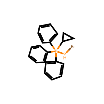 BrPP(c1ccccc1)(c1ccccc1)(c1ccccc1)C1CC1